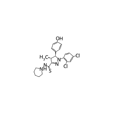 C[C@@H]1C(C(=S)NN2CCCCC2)=NN(c2ccc(Cl)cc2Cl)[C@@H]1c1ccc(O)cc1